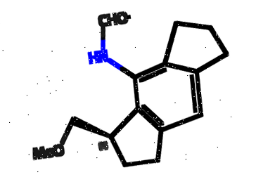 COC[C@@H]1CCc2cc3c(c(N[C]=O)c21)CCC3